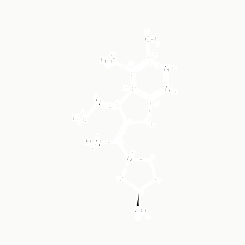 C/N=C1\C(=C(/N)N2CC[C@@H](C)C2)Sc2nnc(C)c(C)c21